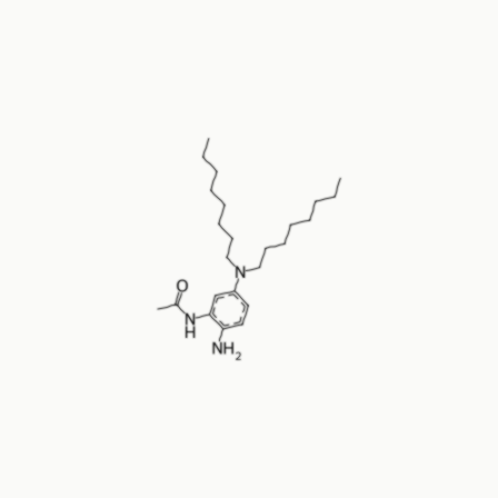 CCCCCCCCN(CCCCCCCC)c1ccc(N)c(NC(C)=O)c1